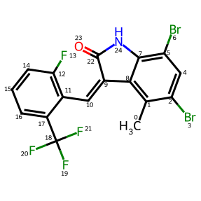 Cc1c(Br)cc(Br)c2c1C(=Cc1c(F)cccc1C(F)(F)F)C(=O)N2